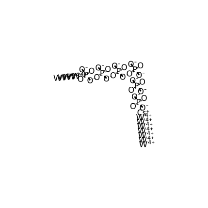 O=P([O-])([O-])[O-].O=P([O-])([O-])[O-].O=P([O-])([O-])[O-].O=P([O-])([O-])[O-].O=P([O-])([O-])[O-].O=P([O-])([O-])[O-].[Cs+].[W+4].[W+4].[W+4].[W+4].[W+4].[W+4].[W+4].[W+4].[W+4].[W+4].[W+4].[W+4]